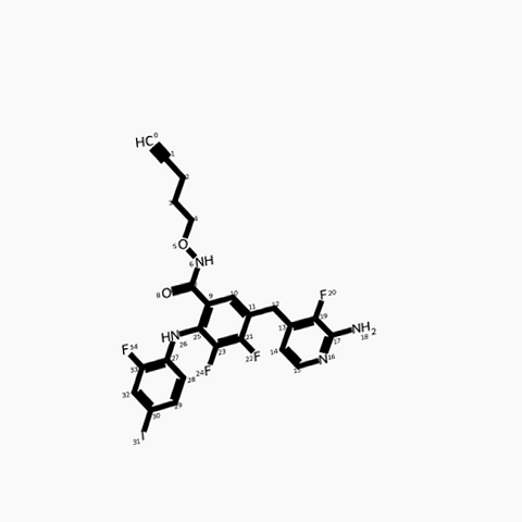 C#CCCCONC(=O)c1cc(Cc2ccnc(N)c2F)c(F)c(F)c1Nc1ccc(I)cc1F